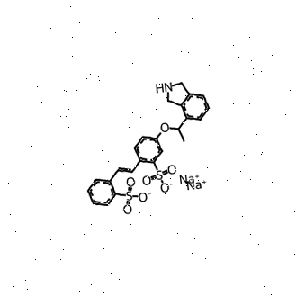 CC(Oc1ccc(C=Cc2ccccc2S(=O)(=O)[O-])c(S(=O)(=O)[O-])c1)c1cccc2c1CNC2.[Na+].[Na+]